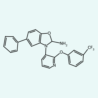 NC1Oc2ccc(-c3ccccc3)cc2N1c1cccnc1Oc1cccc(C(F)(F)F)c1